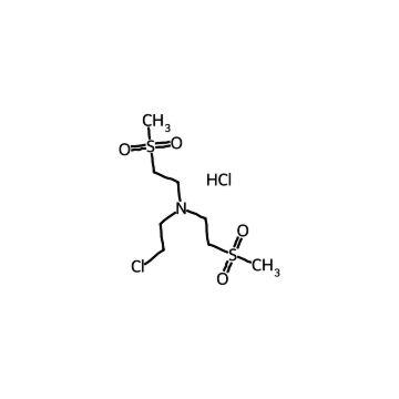 CS(=O)(=O)CCN(CCCl)CCS(C)(=O)=O.Cl